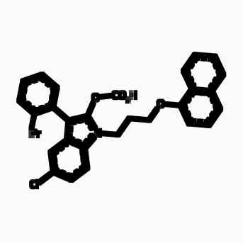 CC(C)c1ccccc1-c1c(OC(=O)O)n(CCCOc2cccc3ccccc23)c2ccc(Cl)cc12